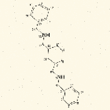 c1ccc(CNCC2CCCC(CNCc3ccccc3)C2)cc1